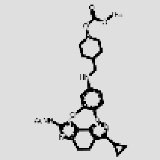 CC(=O)Nc1nc2c(s1)-c1c(c(C3CC3)nn1-c1ccc(NCC3CCN(OC(=O)OC(C)(C)C)CC3)cc1Cl)CC2